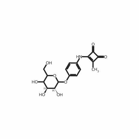 Cc1c(Nc2ccc(OC3OC(CO)C(O)[C@H](O)[C@H]3O)cc2)c(=O)c1=O